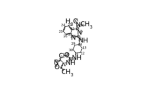 Cc1noc(C)c1NC(=O)NC1CCC(Nc2nc(N(C)C)c3ccccc3n2)CC1